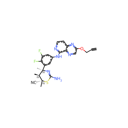 C#CCOc1cnc2c(Nc3cc(F)c(F)c([C@@]4(C)N=C(N)S[C@](C)(C#N)[C@H]4C)c3)nccc2n1